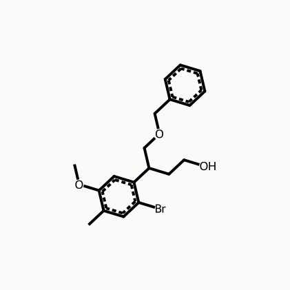 COc1cc(C(CCO)COCc2ccccc2)c(Br)cc1C